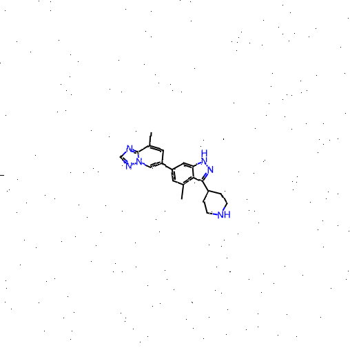 Cc1cc(-c2cc(C)c3ncnn3c2)cc2[nH]nc(C3CCNCC3)c12